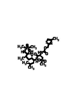 Cc1csc(COC(=O)N[C@@H](CS(C)(=O)=O)C(=O)N[C@@H](CC(C)C)[C@@H](O)C[C@@H](C)C(=O)NN(C)S(C)(=O)=O)n1